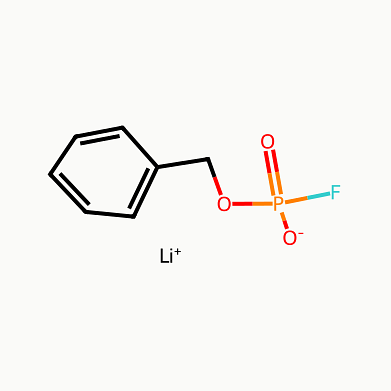 O=P([O-])(F)OCc1ccccc1.[Li+]